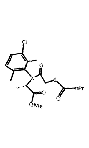 CCCC(=O)SCC(=O)N(c1c(C)ccc(Cl)c1C)[C@@H](C)C(=O)OC